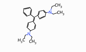 CCN(CC)c1ccc(C(=C2C=CC(N(CC)CC)C=C2)c2ccccc2)cc1